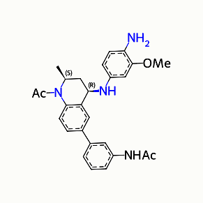 COc1cc(N[C@@H]2C[C@H](C)N(C(C)=O)c3ccc(-c4cccc(NC(C)=O)c4)cc32)ccc1N